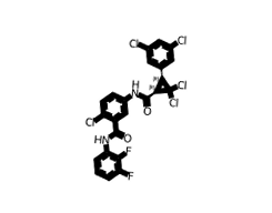 O=C(Nc1cccc(F)c1F)c1cc(NC(=O)[C@H]2[C@H](c3cc(Cl)cc(Cl)c3)C2(Cl)Cl)ccc1Cl